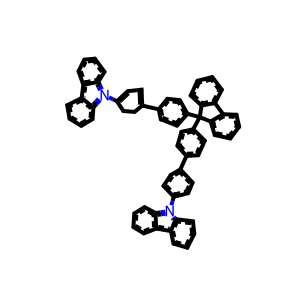 C1=C(c2ccc(C3(c4ccc(-c5ccc(-n6c7ccccc7c7ccccc76)cc5)cc4)c4ccccc4-c4ccccc43)cc2)CCC(n2c3ccccc3c3ccccc32)=C1